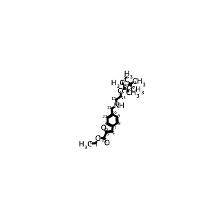 CCOC(=O)c1cc2ccc(CNCCO[Si](C)(C)C(C)(C)C)cc2o1